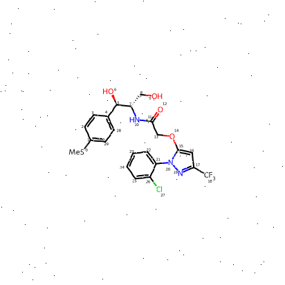 CSc1ccc([C@@H](O)[C@H](CO)NC(=O)COc2cc(C(F)(F)F)nn2-c2ccccc2Cl)cc1